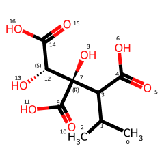 CC(C)C(C(=O)O)[C@](O)(C(=O)O)[C@H](O)C(=O)O